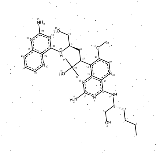 CCCC[C@H](CO)Nc1nc(N)nc2c(C(C[C@H](CO)Nc3nc(N)nc4cccnc34)C(C)(C)O)c(OC)cnc12